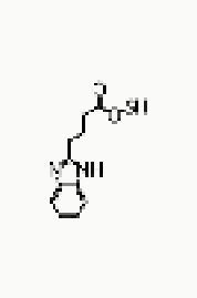 O=C(CCCc1nc2ccccc2[nH]1)OS